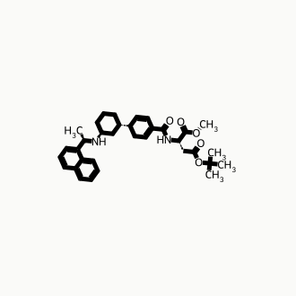 COC(=O)[C@H](CC(=O)OC(C)(C)C)NC(=O)C1=CCC([C@H]2CCC[C@H](N[C@H](C)c3cccc4ccccc34)C2)C=C1